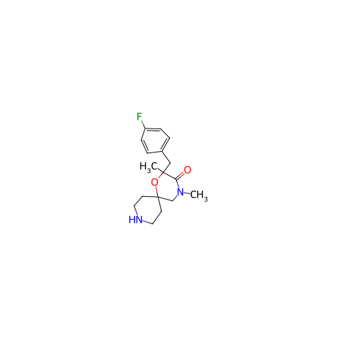 CN1CC2(CCNCC2)OC(C)(Cc2ccc(F)cc2)C1=O